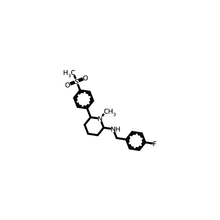 CN1C(NCc2ccc(F)cc2)CCCC1c1ccc(S(C)(=O)=O)cc1